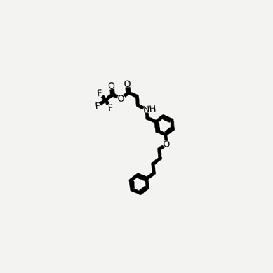 O=C(CCNCc1cccc(OCCCCc2ccccc2)c1)OC(=O)C(F)(F)F